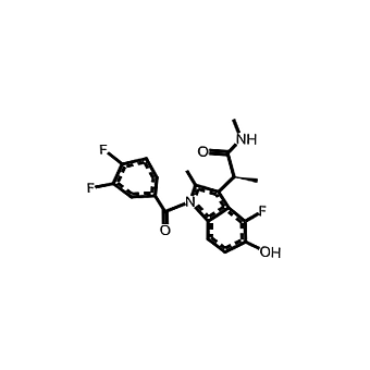 CNC(=O)[C@@H](C)c1c(C)n(C(=O)c2ccc(F)c(F)c2)c2ccc(O)c(F)c12